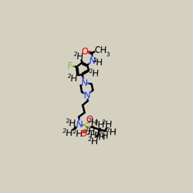 [2H]c1c(F)c([2H])c(N([2H])C(C)=O)c([2H])c1N1CCN(CCCCN(C([2H])([2H])[2H])S(=O)(=O)C([2H])([2H])C([2H])(C([2H])([2H])[2H])C([2H])([2H])[2H])CC1